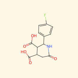 O=C1CC(C(=O)O)C(C(=O)O)C(c2ccc(F)cc2)N1